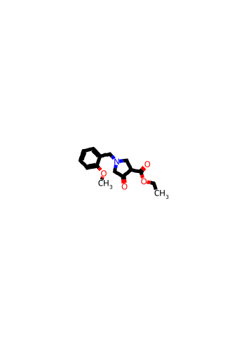 CCOC(=O)C1CN(Cc2ccccc2OC)CC1=O